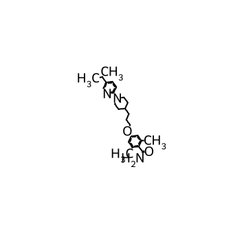 Cc1cc(OCCCC2CCN(c3ccc(C(C)C)cn3)CC2)cc(C)c1C(N)=O